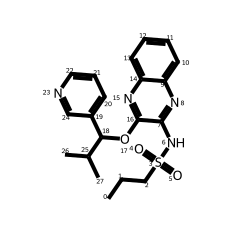 CCCS(=O)(=O)Nc1nc2ccccc2nc1OC(c1cccnc1)C(C)C